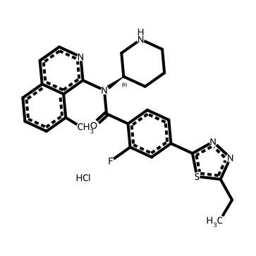 CCc1nnc(-c2ccc(C(=O)N(c3nccc4cccc(C)c34)[C@@H]3CCCNC3)c(F)c2)s1.Cl